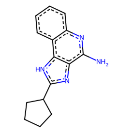 Nc1nc2ccccc2c2[nH]c(C3CCCC3)nc12